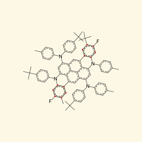 Cc1ccc(N(c2ccc(C(C)(C)C)cc2)c2cc(N(c3ccc(C)cc3)c3ccc(C(C)(C)C)cc3)c3c(-c4ccc(F)cc4)cc4c(N(c5ccc(C)cc5)c5ccc(C(C)(C)C)cc5)cc(N(c5ccc(C)cc5)c5ccc(C(C)(C)C)cc5)c5c(-c6ccc(F)cc6)cc2c3c45)cc1